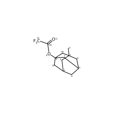 CC12CC3CC(C1)CC(OC(=O)C(F)(F)F)(C3)C2